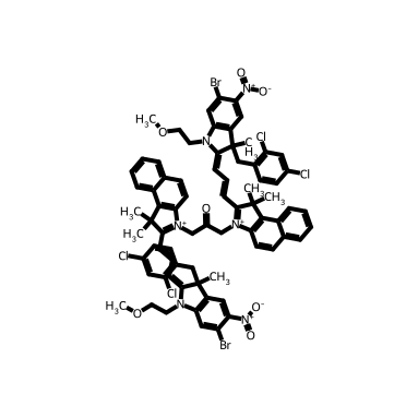 COCCN1/C(=C/C=C/C2=[N+](CC(=O)C[N+]3=C(/C=C/C=C4/N(CCOC)c5cc(Br)c([N+](=O)[O-])cc5C4(C)Cc4ccc(Cl)cc4Cl)C(C)(C)c4c3ccc3ccccc43)c3ccc4ccccc4c3C2(C)C)C(C)(Cc2ccc(Cl)cc2Cl)c2cc([N+](=O)[O-])c(Br)cc21